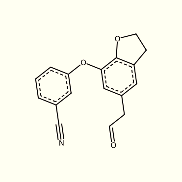 N#Cc1cccc(Oc2cc(CC=O)cc3c2OCC3)c1